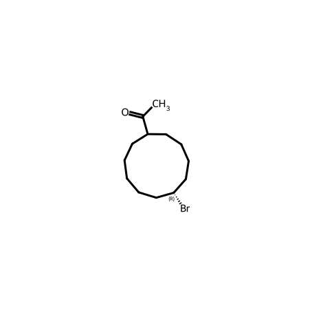 CC(=O)C1CCCCC[C@@H](Br)CCCC1